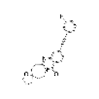 O=c1c2ccc(C#Cc3cccc(F)c3)cc2nc2n1CCC1(CCCO1)CC2